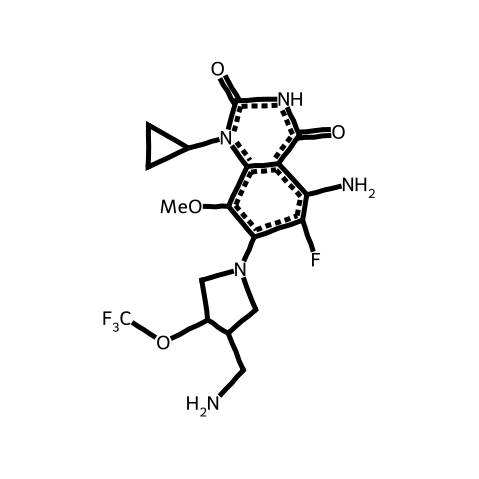 COc1c(N2CC(CN)C(OC(F)(F)F)C2)c(F)c(N)c2c(=O)[nH]c(=O)n(C3CC3)c12